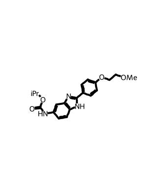 COCCOc1ccc(-c2nc3cc(NC(=O)OC(C)C)ccc3[nH]2)cc1